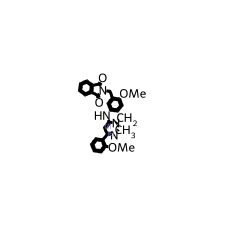 C=N/C(=C\C(=N/C)c1ccccc1OC)Nc1ccc(OC)c(CN2C(=O)c3ccccc3C2=O)c1